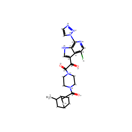 CC1CC2CCC1C(C(=O)N1CCN(C(=O)C(=O)c3c[nH]c4c(-n5ccnn5)ncc(F)c34)CC1)C2